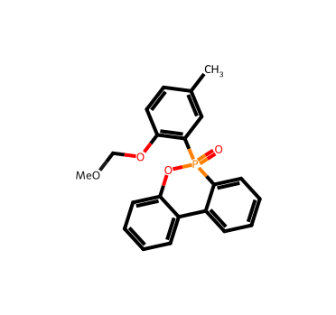 COCOc1ccc(C)cc1P1(=O)Oc2ccccc2-c2ccccc21